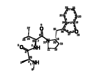 CN[C@@H](C)C(=O)N[C@H](C(=O)N1CCC[C@H]1Cc1coc2ccccc12)C(C)C